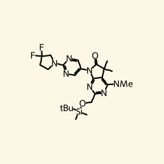 CNc1nc(CO[Si](C)(C)C(C)(C)C)nc2c1C(C)(C)C(=O)N2c1cnc(N2CCC(F)(F)C2)nc1